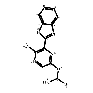 CC(C)Oc1cnc(N)c(-c2nc3ccccc3[nH]2)n1